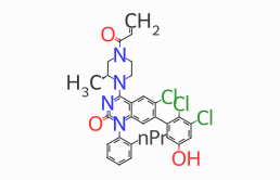 C=CC(=O)N1CCN(c2nc(=O)n(-c3ccccc3CCC)c3cc(-c4cc(O)cc(Cl)c4Cl)c(Cl)cc23)[C@@H](C)C1